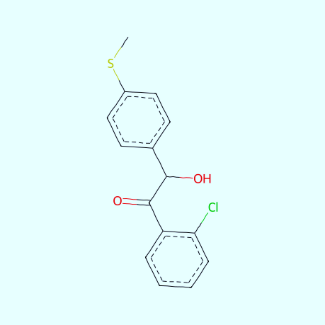 CSc1ccc(C(O)C(=O)c2ccccc2Cl)cc1